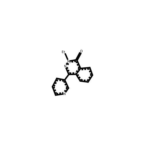 CCn1nc(-c2cccnc2)c2ccccc2c1=O